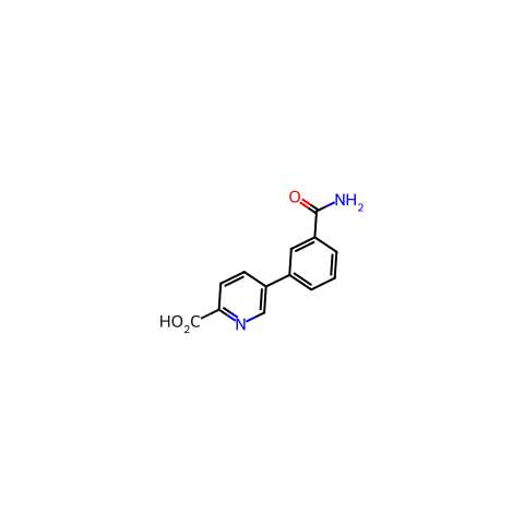 NC(=O)c1cccc(-c2ccc(C(=O)O)nc2)c1